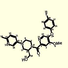 COc1cc(C(=O)N2CCN(c3ccc(C)nc3)C[C@@H]2CO)ncc1Oc1ccc(F)cc1